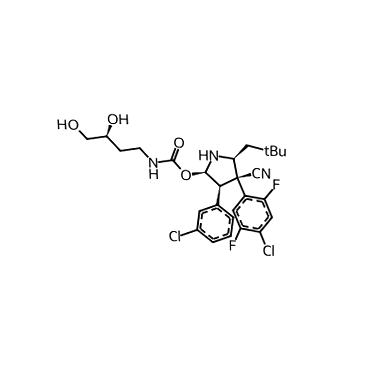 CC(C)(C)C[C@@H]1N[C@H](OC(=O)NCC[C@H](O)CO)[C@H](c2cccc(Cl)c2)[C@@]1(C#N)c1cc(F)c(Cl)cc1F